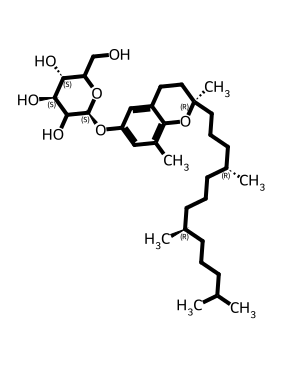 Cc1cc(O[C@@H]2OC(CO)[C@@H](O)[C@H](O)C2O)cc2c1O[C@](C)(CCC[C@H](C)CCC[C@H](C)CCCC(C)C)CC2